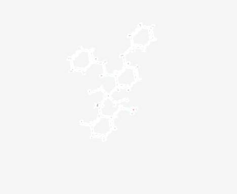 CCC(CC)(Pc1c(C)cccc1CO)c1cccc(Cc2ccccc2)c1OCc1ccccc1